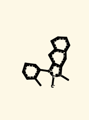 [CH2-][c+]1n(C)c2cc3ccccc3cc2n1-c1ccccc1C